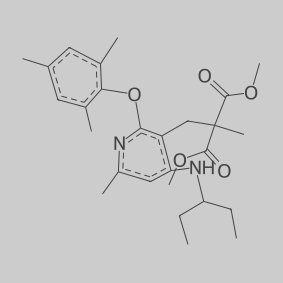 CCC(CC)Nc1cc(C)nc(Oc2c(C)cc(C)cc2C)c1CC(C)(C(=O)OC)C(=O)OC